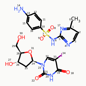 Cc1ccnc(NS(=O)(=O)c2ccc(N)cc2)n1.O=c1[nH]c(=O)n([C@H]2C[C@H](O)[C@@H](CO)O2)cc1I